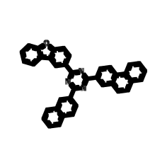 c1ccc2cc(-c3nc(-c4ccc5c(ccc6ccccc65)c4)nc(-c4ccc5oc6ccccc6c5c4)n3)ccc2c1